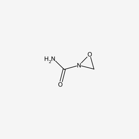 NC(=O)N1CO1